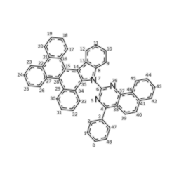 c1ccc(-c2nc(-n3c4ccccc4c4c5c6ccccc6c6ccccc6c5c5ccccc5c43)nc3c2ccc2ccccc23)cc1